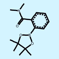 CN(C)C(=O)c1ccccc1B1OC(C)(C)C(C)(C)O1